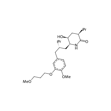 COCCCOc1cc(C[C@@H](C[C@@H]2NC(=O)[C@H](C(C)C)C[C@@H]2O)C(C)C)ccc1OC